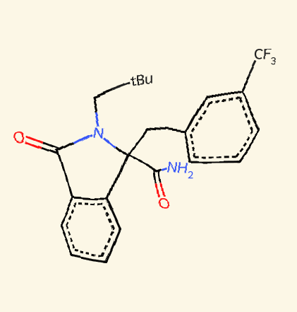 CC(C)(C)CN1C(=O)c2ccccc2C1(Cc1cccc(C(F)(F)F)c1)C(N)=O